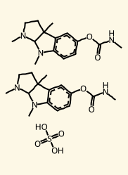 CNC(=O)Oc1ccc2c(c1)C1(C)CCN(C)C1N2C.CNC(=O)Oc1ccc2c(c1)C1(C)CCN(C)C1N2C.O=S(=O)(O)O